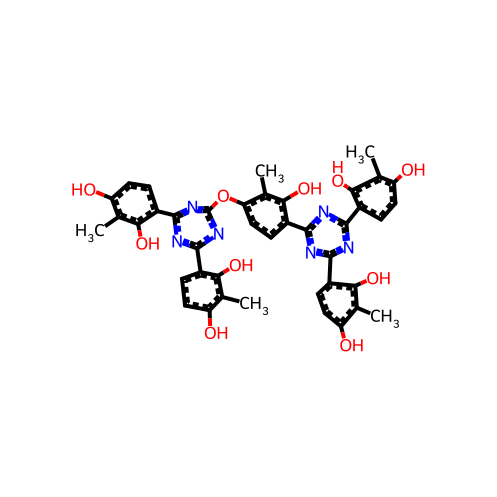 Cc1c(O)ccc(-c2nc(Oc3ccc(-c4nc(-c5ccc(O)c(C)c5O)nc(-c5ccc(O)c(C)c5O)n4)c(O)c3C)nc(-c3ccc(O)c(C)c3O)n2)c1O